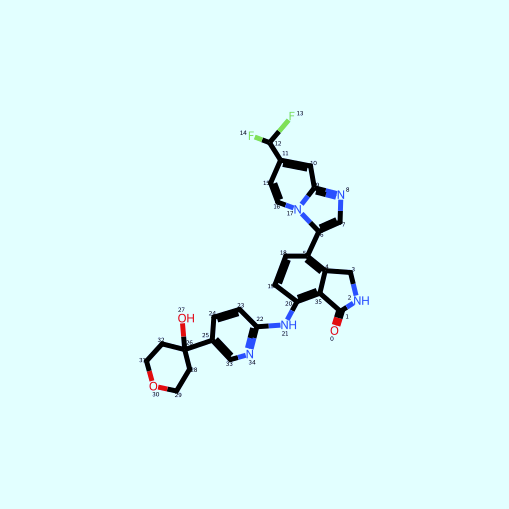 O=C1NCc2c(-c3cnc4cc(C(F)F)ccn34)ccc(Nc3ccc(C4(O)CCOCC4)cn3)c21